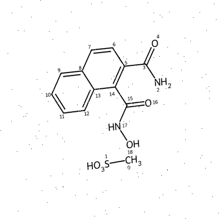 CS(=O)(=O)O.NC(=O)c1ccc2ccccc2c1C(=O)NO